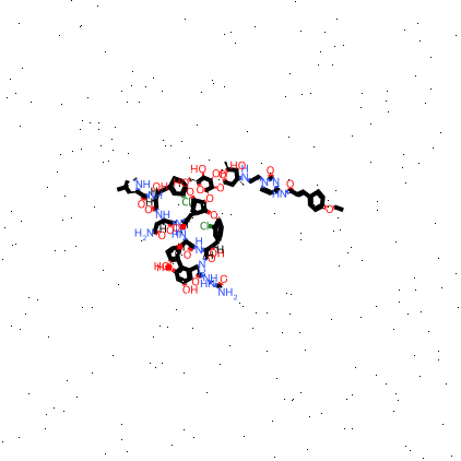 CCOc1ccc(/C=C/C(=O)Nc2ccn(CCN[C@@]3(C)C[C@H](O[C@H]4[C@H](Oc5c6cc7cc5Oc5ccc(cc5Cl)[C@@H](O)[C@@H](NC(=O)[C@@H](CC(C)C)NC)C(=O)N[C@@H](CC(N)=O)C(=O)N[C@H]7C(=O)N[C@H]5C(=O)N[C@H](C(=O)N[C@@H](C(=O)NNC(N)=O)c7cc(O)cc(O)c7-c7cc5ccc7O)[C@H](O)c5ccc(c(Cl)c5)O6)O[C@H](CO)[C@@H](O)[C@@H]4O)O[C@@H](C)[C@H]3O)c(=O)n2)cc1